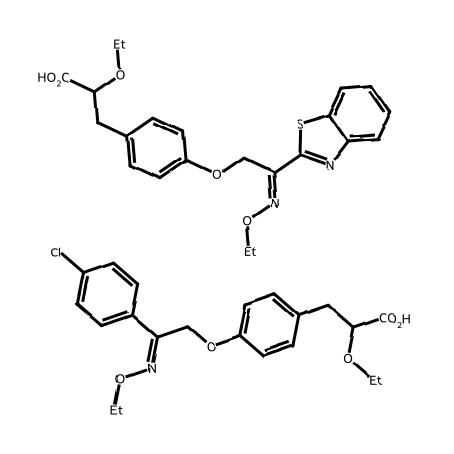 CCON=C(COc1ccc(CC(OCC)C(=O)O)cc1)c1ccc(Cl)cc1.CCON=C(COc1ccc(CC(OCC)C(=O)O)cc1)c1nc2ccccc2s1